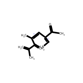 C=C(C)C(=C)/C(C)=C\C(=C/N)C(C)=O